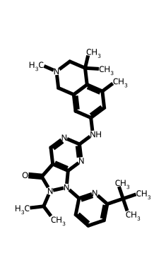 Cc1cc(Nc2ncc3c(=O)n(C(C)C)n(-c4cccc(C(C)(C)C)n4)c3n2)cc2c1C(C)(C)CN(C)C2